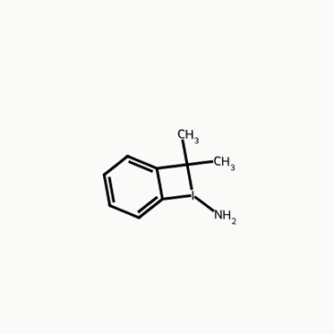 CC1(C)c2ccccc2I1N